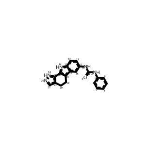 O=C(Nc1ccccc1)Nc1ccc2[nH]c3c(c2c1)CCc1cn[nH]c1-3